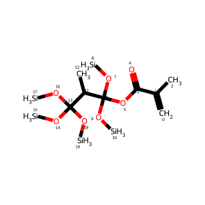 C=C(C)C(=O)OC(O[SiH3])(O[SiH3])C(C)C(O[SiH3])(O[SiH3])O[SiH3]